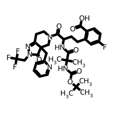 CC(C)(C)OC(=O)NC(C)(C)C(=O)NC(CCc1cc(F)ccc1C(=O)O)C(=O)N1CCC2=NN(CC(F)(F)F)C(=O)C2(Cc2ccccn2)C1